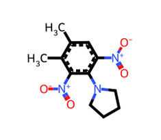 Cc1cc([N+](=O)[O-])c(N2CCCC2)c([N+](=O)[O-])c1C